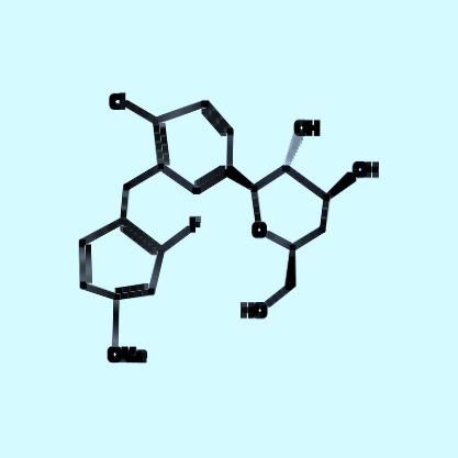 COc1ccc(Cc2cc([C@@H]3O[C@H](CO)C[C@H](O)[C@H]3O)ccc2Cl)c(F)c1